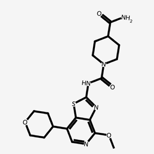 COc1ncc(C2CCOCC2)c2sc(NC(=O)N3CCC(C(N)=O)CC3)nc12